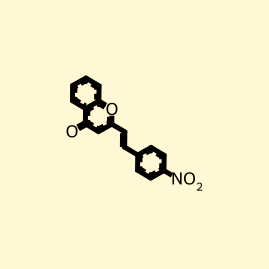 O=c1cc(/C=C/c2ccc([N+](=O)[O-])cc2)oc2ccccc12